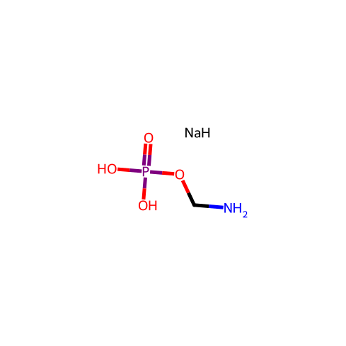 NCOP(=O)(O)O.[NaH]